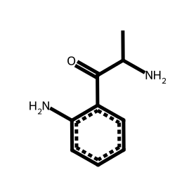 CC(N)C(=O)c1ccccc1N